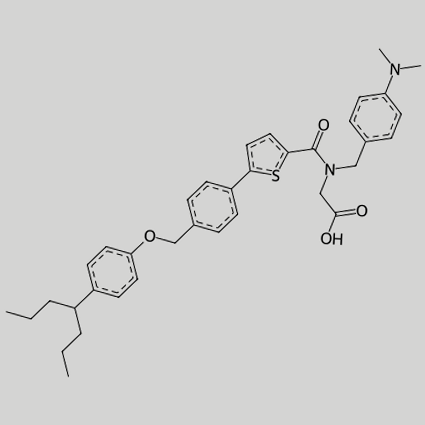 CCCC(CCC)c1ccc(OCc2ccc(-c3ccc(C(=O)N(CC(=O)O)Cc4ccc(N(C)C)cc4)s3)cc2)cc1